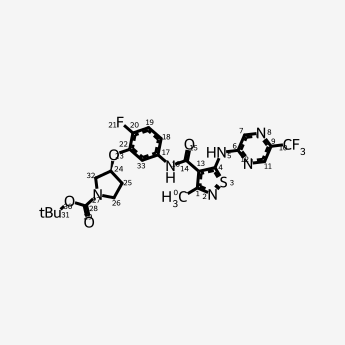 Cc1nsc(Nc2cnc(C(F)(F)F)cn2)c1C(=O)Nc1ccc(F)c(O[C@H]2CCN(C(=O)OC(C)(C)C)C2)c1